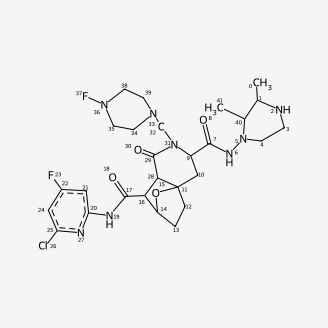 CC1NCCN(NC(=O)C2CC34CCC(O3)C(C(=O)Nc3cc(F)cc(Cl)n3)C4C(=O)N2CN2CCN(F)CC2)C1C